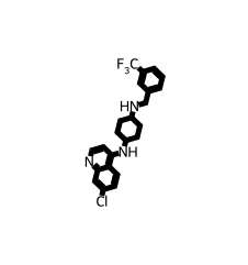 FC(F)(F)c1cccc(CNC2CCC(Nc3ccnc4cc(Cl)ccc34)CC2)c1